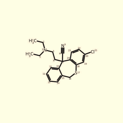 CCN(CC)CCC1(C#N)c2ccccc2CSc2cc(Cl)ccc21